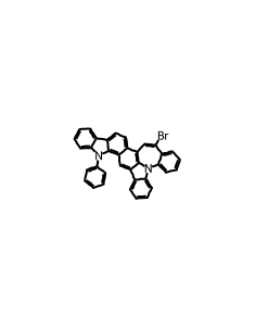 BrC1=Cc2c3ccc4c5ccccc5n(-c5ccccc5)c4c3cc3c4ccccc4n(c23)-c2ccccc21